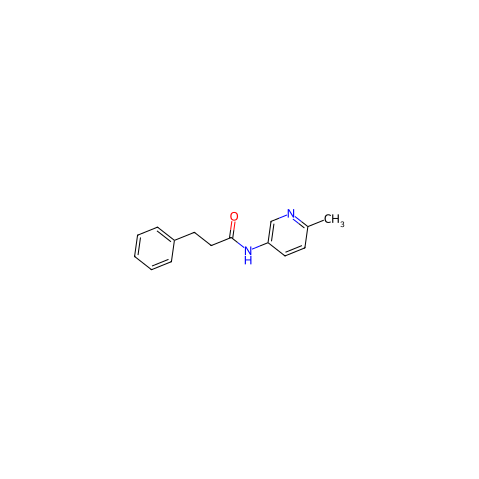 Cc1ccc(NC(=O)CCc2ccccc2)cn1